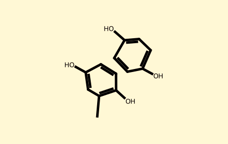 Cc1cc(O)ccc1O.Oc1ccc(O)cc1